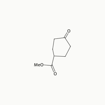 COC(=O)C1CCC(=O)CC1